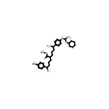 CCC(CCCC(CCCC(C)c1ccc(OC(C)OC2CCCCC2)cc1)C(=O)OC(C)(C)C)c1ccc(C(C)(C)C)cc1